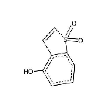 O=S1(=O)C=Cc2c(O)cccc21